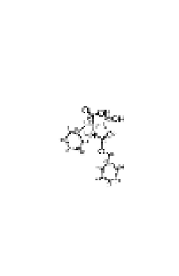 O=C(N[C@@](CCO)(Cc1ccccc1)C(=O)O)OCc1ccccc1